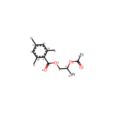 CCC(=O)O[C](COC(=O)c1c(C)cc(C)cc1C)C(C)C